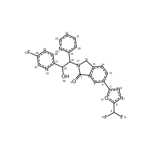 O=C1c2cc(-c3nnc(C(F)F)o3)ccc2CN1C(c1ccccn1)C(O)c1ccc(F)cn1